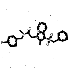 Cc1c(S(=O)(=O)Cc2ccccc2)c2ccccn2c1CC(=O)N(C)Cc1ccc(F)cc1